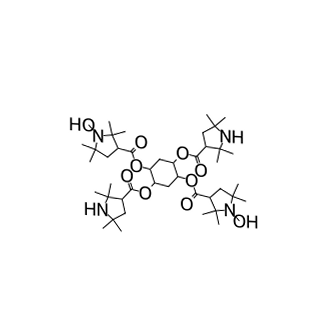 CC1(C)CC(C(=O)OC2CC(OC(=O)C3CC(C)(C)N(O)C3(C)C)C(OC(=O)C3CC(C)(C)NC3(C)C)CC2OC(=O)C2CC(C)(C)N(O)C2(C)C)C(C)(C)N1